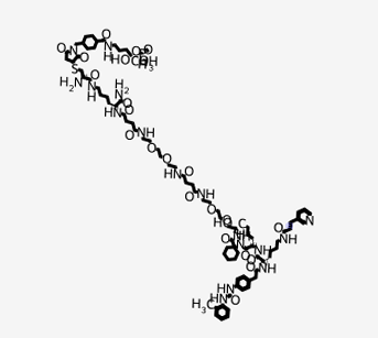 Cc1ccccc1NC(=O)Nc1ccc(CC(=O)N[C@@H](CCCCNC(=O)/C=C/c2cccnc2)C(=O)N[C@@H](CCCC(=O)O)C(=O)NC2(C(=O)NCCOCCOCCNC(=O)CCC(=O)NCCOCCOCCNC(=O)CCC(=O)N[C@@H](CCCCNC(=O)[C@H](N)CSC3CC(=O)N(CC4CCC(C(=O)NCCCC(C)(O)O[PH](=O)O)CC4)C3=O)C(N)=O)CCCCC2)cc1